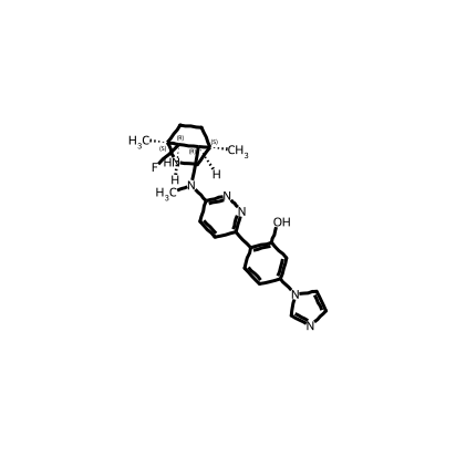 CN(c1ccc(-c2ccc(-n3ccnc3)cc2O)nn1)[C@H]1[C@@H](F)[C@]2(C)CC[C@@]1(C)CN2